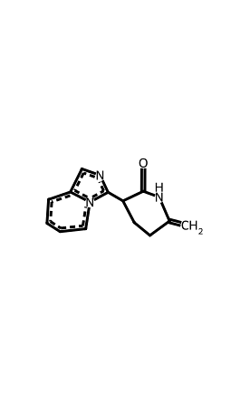 C=C1CCC(c2ncc3ccccn23)C(=O)N1